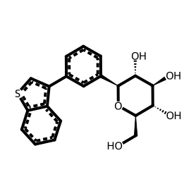 OC[C@H]1O[C@@H](c2cccc(-c3csc4ccccc34)c2)[C@H](O)[C@@H](O)[C@@H]1O